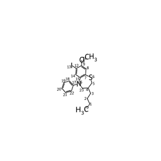 CCCCC1CSc2cc(OC)c(I)cc2N(c2ccccc2)C1